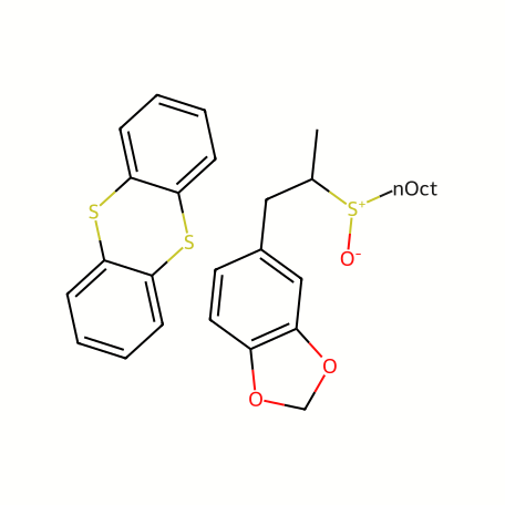 CCCCCCCC[S+]([O-])C(C)Cc1ccc2c(c1)OCO2.c1ccc2c(c1)Sc1ccccc1S2